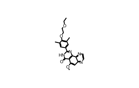 CCOCCOc1c(C)cc(-c2nc3c(c(OC)cc4nccnc43)c(=O)[nH]2)cc1C